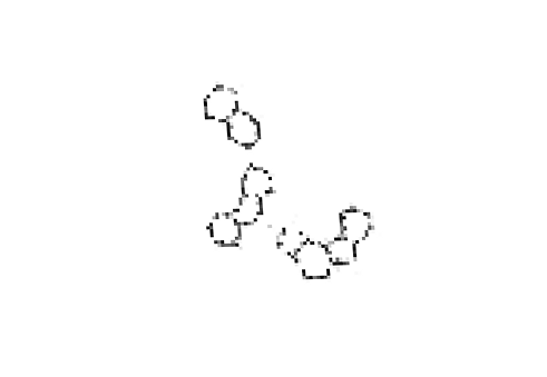 c1ccc2cc(-c3ccc4c(c3)c3ccccc3n4-c3nc4c(ccc5sc6ccccc6c54)s3)ccc2c1